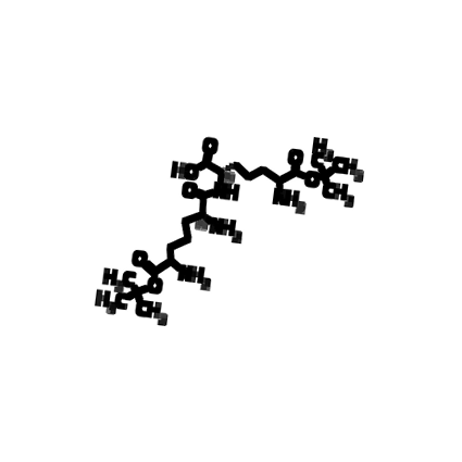 CC(C)(C)OC(=O)C(N)CCC[C@H](NC(=O)[C@@H](N)CCCC(N)C(=O)OC(C)(C)C)C(=O)O